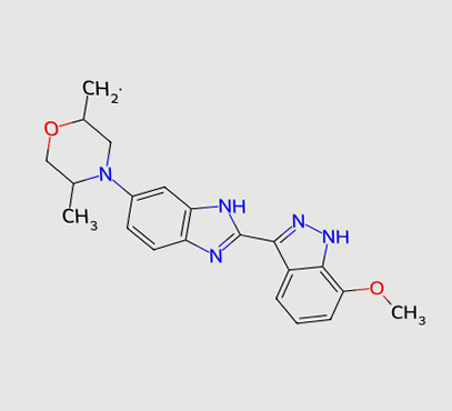 [CH2]C1CN(c2ccc3nc(-c4n[nH]c5c(OC)cccc45)[nH]c3c2)C(C)CO1